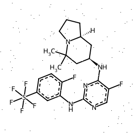 CC1(C)C[C@H](Nc2nc(Nc3cc(S(F)(F)(F)(F)F)ccc3F)ncc2F)C[C@@H]2CCCN21